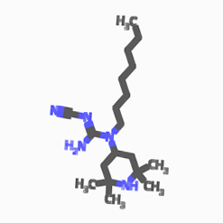 CCCCCCCCN(/C(N)=N/C#N)C1CC(C)(C)NC(C)(C)C1